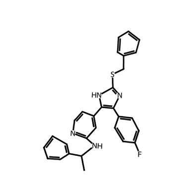 CC(Nc1cc(-c2[nH]c(SCc3ccccc3)nc2-c2ccc(F)cc2)ccn1)c1ccccc1